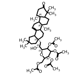 CC(=O)OCC1O[C@@H]([C@H](O)C[C@@]23CCC4C(=CCC5[C@@]4(C)CCC4C(C)(C)C(=O)CC[C@@]45C)C2CC(C)(C)CC3)C(OC(C)=O)C(OC(C)=O)[C@@H]1OC(C)=O